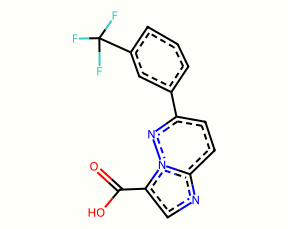 O=C(O)c1cnc2ccc(-c3cccc(C(F)(F)F)c3)nn12